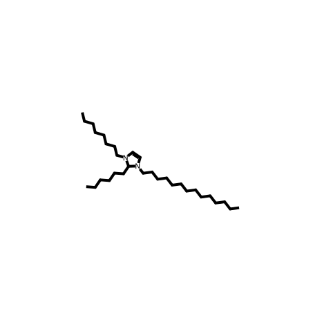 CCCCCCCCCCCCCCN1C=CN(CCCCCCCC)C1CCCCCC